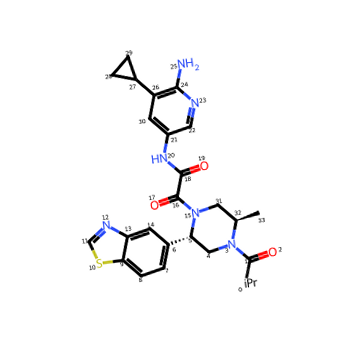 CC(C)C(=O)N1C[C@H](c2ccc3scnc3c2)N(C(=O)C(=O)Nc2cnc(N)c(C3CC3)c2)C[C@H]1C